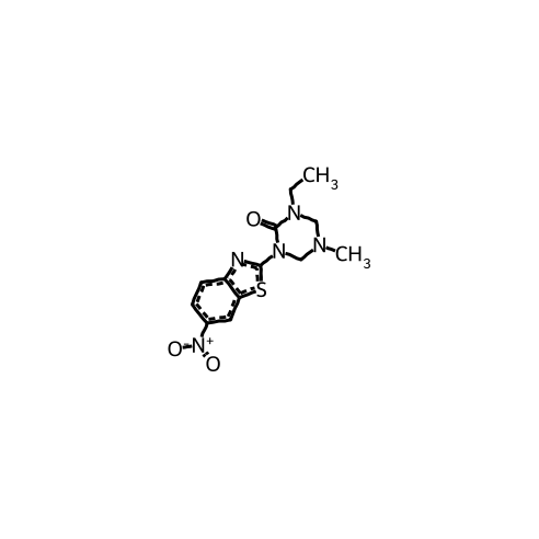 CCN1CN(C)CN(c2nc3ccc([N+](=O)[O-])cc3s2)C1=O